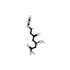 CC(=O)C[C@H](C)CC(=O)CCN=[N+]=[N-]